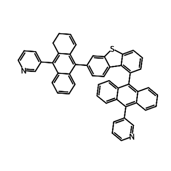 C1=Cc2c(c(-c3cccnc3)c3ccccc3c2-c2ccc3c(c2)sc2cccc(-c4c5ccccc5c(-c5cccnc5)c5ccccc45)c23)CC1